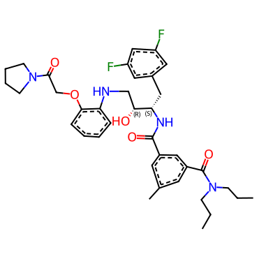 CCCN(CCC)C(=O)c1cc(C)cc(C(=O)N[C@@H](Cc2cc(F)cc(F)c2)[C@H](O)CNc2ccccc2OCC(=O)N2CCCC2)c1